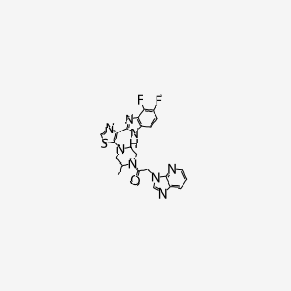 CC1CN(c2scnc2-c2nc3c(F)c(F)ccc3[nH]2)CCN1C(=O)Cn1cnc2cccnc21